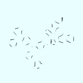 C1=Cc2c(ccc3c2Oc2c(ccc4ccccc24)C32c3ccccc3-c3c(-c4ccc(N(c5ccc(-c6ccccc6-c6ccccc6)cc5)c5cccc(-c6ccccc6)c5)cc4)cccc32)CC1